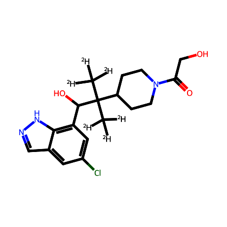 [2H]C([2H])([2H])C(C1CCN(C(=O)CO)CC1)(C(O)c1cc(Cl)cc2cn[nH]c12)C([2H])([2H])[2H]